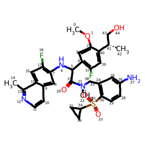 COc1cc(C(Nc2cc3ccnc(C)c3cc2F)C(=O)N(C)Cc2cc(N)ccc2S(=O)(=O)C2CC2)c(F)cc1[C@@H](C)CO